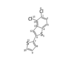 Clc1ccc2sc(-c3cccs3)[c]c2c1Cl